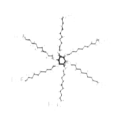 CCCCCCCCCCCSc1c(SCCCCCCCCCCC)c(SCCCCCCCCCCC)c(SCCCCCCCCCCC)c(SCCCCCCCCCCC)c1SCCCCCCCCCCC